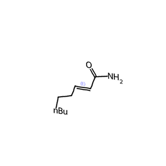 CCCCCC/C=C/C(N)=O